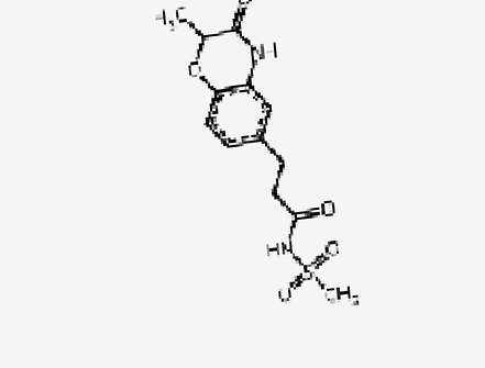 CC1Oc2ccc(CCC(=O)NS(C)(=O)=O)cc2NC1=O